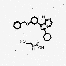 Nc1nccn2c(C3CCCCC3)nc(-c3cccc(OCc4ccccc4)c3)c12.O=C(O)NCCO